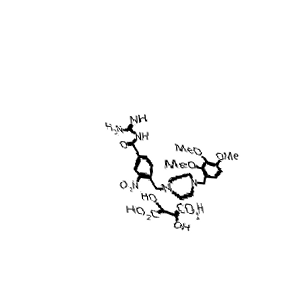 COc1ccc(CN2CCN(Cc3ccc(C(=O)NC(=N)N)cc3[N+](=O)[O-])CC2)c(OC)c1OC.O=C(O)C(O)C(O)C(=O)O